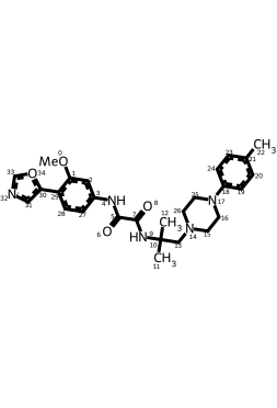 COc1cc(NC(=O)C(=O)NC(C)(C)CN2CCN(c3ccc(C)cc3)CC2)ccc1-c1cnco1